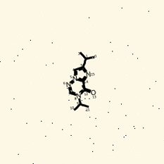 CC(C)c1cn2ncn(C(C)C)c(=O)c2n1